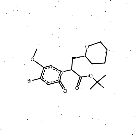 COc1cn(C(C[C@@H]2CCCCO2)C(=O)OC(C)(C)C)c(=O)cc1Br